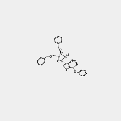 Cl[C@@H]1[C@H](OCc2ccccc2)[C@@H](COCc2ccccc2)O[C@H]1c1csc2c(Oc3ccccc3)ncnc12